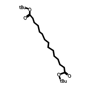 CC(C)(C)OC(=O)CCCCCCCCCCCCCC(=O)OC(C)(C)C